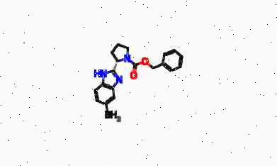 Bc1ccc2[nH]c([C@@H]3CCCN3C(=O)OCc3ccccc3)nc2c1